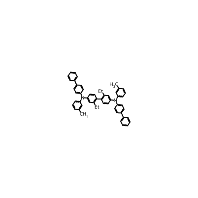 CCc1cc(N(c2ccc(-c3ccccc3)cc2)c2cccc(C)c2)ccc1-c1ccc(N(c2ccc(-c3ccccc3)cc2)c2cccc(C)c2)cc1CC